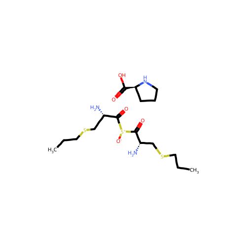 CCCSC[C@H](N)C(=O)[S+]([O-])C(=O)[C@@H](N)CSCCC.O=C(O)[C@@H]1CCCN1